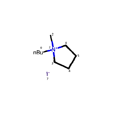 CCCC[N+]1(C)CCCC1.[I-]